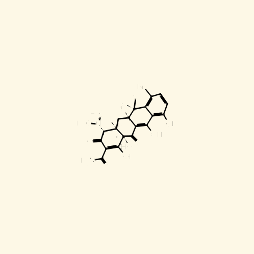 CN(C)[C@@H]1C(=O)C(C(N)=O)=C(O)[C@@]2(O)C(=O)C3=C(O)c4c(O)ccc(Br)c4[C@@](C)(O)[C@H]3C[C@@H]12